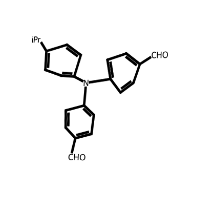 CC(C)c1ccc(N(c2ccc(C=O)cc2)c2ccc(C=O)cc2)cc1